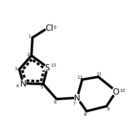 ClCc1cnc(CN2CCOCC2)s1